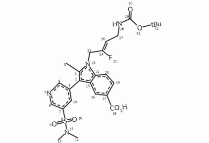 Cc1c(-c2cncc(S(=O)(=O)N(C)C)c2)c2cc(C(=O)O)ccc2n1CC(F)=CCNC(=O)OC(C)(C)C